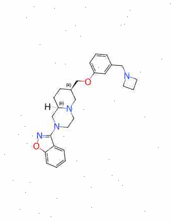 c1cc(CN2CCC2)cc(OC[C@@H]2CC[C@@H]3CN(c4noc5ccccc45)CCN3C2)c1